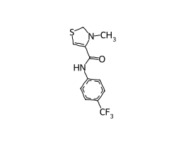 CN1CSC=C1C(=O)Nc1ccc(C(F)(F)F)cc1